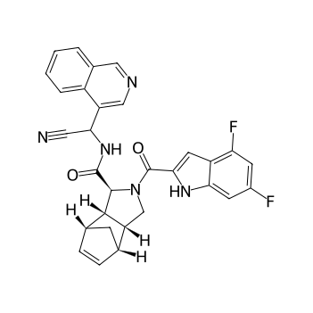 N#CC(NC(=O)[C@@H]1[C@@H]2[C@H](CN1C(=O)c1cc3c(F)cc(F)cc3[nH]1)[C@@H]1C=C[C@H]2C1)c1cncc2ccccc12